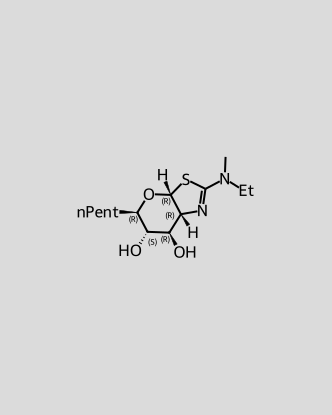 CCCCC[C@H]1O[C@@H]2SC(N(C)CC)=N[C@@H]2[C@@H](O)[C@@H]1O